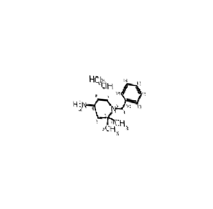 CC1(C)CC(N)CCN1Cc1ccccc1.Cl.Cl